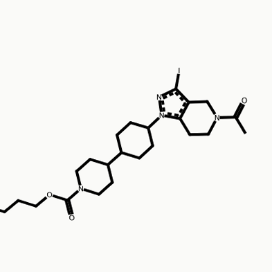 CCCCOC(=O)N1CCC(C2CCC(n3nc(I)c4c3CCN(C(C)=O)C4)CC2)CC1